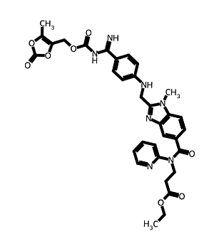 CCOC(=O)CCN(C(=O)c1ccc2c(c1)nc(CNc1ccc(C(=N)NC(=O)OCc3oc(=O)oc3C)cc1)n2C)c1ccccn1